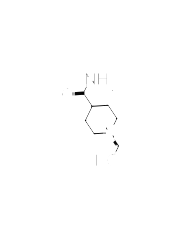 [CH2-]C=[N+]1CCC(C(N)=O)CC1